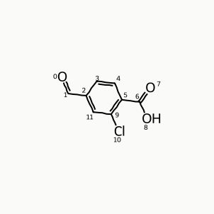 O=Cc1ccc(C(=O)O)c(Cl)c1